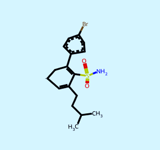 CC(C)CCC1=C[CH]CC(c2ccc(Br)cc2)=C1S(N)(=O)=O